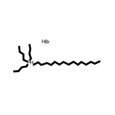 Br.CCCCCCCCCCCCCCCC[PH](CCCC)(CCCC)CCCC